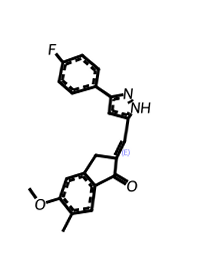 COc1cc2c(cc1C)C(=O)/C(=C/c1cc(-c3ccc(F)cc3)n[nH]1)C2